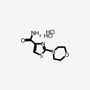 Cl.Cl.NC(=O)c1csc(N2CCOCC2)n1